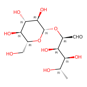 C[C@H](O)[C@H](O)[C@@H](O)[C@H](C=O)O[C@@H]1O[C@H](CO)[C@@H](O)[C@H](O)[C@H]1O